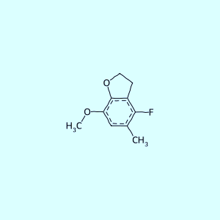 COc1cc(C)c(F)c2c1OCC2